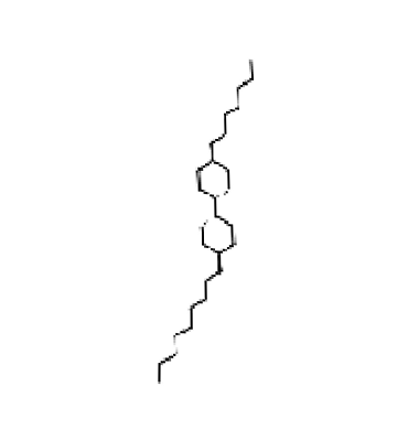 CCCCCCCCC[C@H]1CC[C@H]([C@H]2CC[C@H](CCCCCCC)CC2)CC1